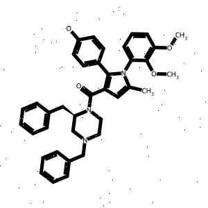 COc1cccc(-n2c(C)cc(C(=O)N3CCN(Cc4ccccc4)C[C@H]3Cc3ccccc3)c2-c2ccc([O])cc2)c1OC